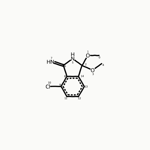 COC1(OC)NC(=N)c2c(Cl)cccc21